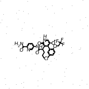 CCCC(C(=O)Nc1ccc(C(N)=O)nc1)c1c(-c2cc(Cl)ccc2OCC(F)(F)F)c(OC)c[nH]c1=O